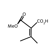 COC(=O)C(C(=O)O)=C(C)C